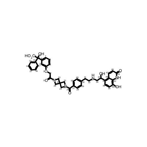 O=C(COc1cccc(C(O)(C(=O)O)c2ccccc2)c1)N1CC2(C1)CN(C(=O)c1ccc(CCNCC(O)c3ccc(O)c4[nH]c(=O)ccc34)cc1)C2